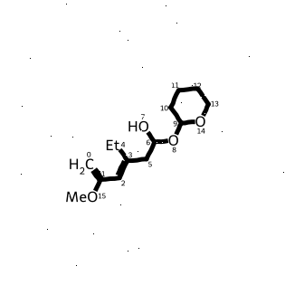 C=C(/C=C(\CC)CC(O)OC1CCCCO1)OC